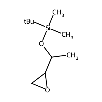 CC(O[Si](C)(C)C(C)(C)C)C1CO1